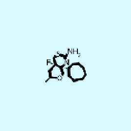 C[C@H]1C[C@@]2(F)CSC(N)=N[C@@]2(C2CCCCCCC2)CO1